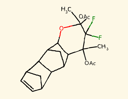 CC(=O)OC1(C)OC2C3CC(C4C5C=CC(C5)C34)C2C(C)(OC(C)=O)C1(F)F